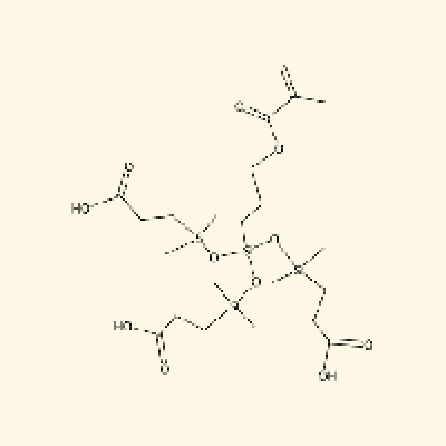 C=C(C)C(=O)OCCC[Si](O[Si](C)(C)CCC(=O)O)(O[Si](C)(C)CCC(=O)O)O[Si](C)(C)CCC(=O)O